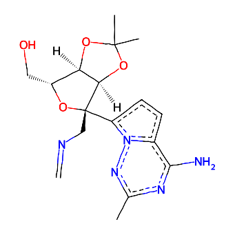 C=NC[C@@]1(c2ccc3c(N)nc(C)nn23)O[C@H](CO)[C@H]2OC(C)(C)O[C@H]21